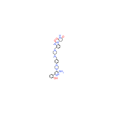 CN(Cc1ccc(N2CCN(c3cc(-c4ccccc4O)nnc3N)CC2)cc1)C1CCN(Cc2cccc3c2n(C)c(=O)n3C2CCC(=O)NC2=O)CC1